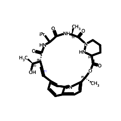 CC(C)C1NC(=O)[C@@H]([C@H](C)O)/C=C/c2ccc3ccc(nc3c2)[C@@H](C)OC(=O)[C@@H]2CCCN(N2)C(=O)[C@H](C)NC1=O